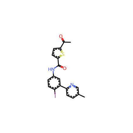 CC(=O)c1ccc(C(=O)Nc2ccc(I)c(-c3ccc(C)cn3)c2)s1